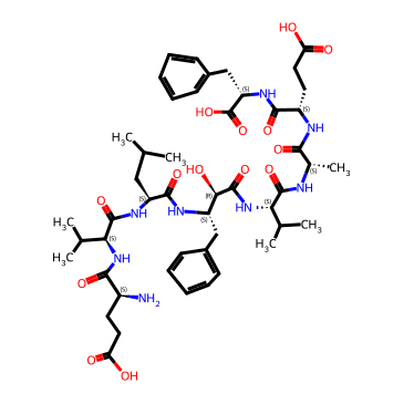 CC(C)C[C@H](NC(=O)[C@@H](NC(=O)[C@@H](N)CCC(=O)O)C(C)C)C(=O)N[C@@H](Cc1ccccc1)[C@@H](O)C(=O)N[C@H](C(=O)N[C@@H](C)C(=O)N[C@@H](CCC(=O)O)C(=O)N[C@@H](Cc1ccccc1)C(=O)O)C(C)C